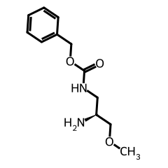 COC[C@@H](N)CNC(=O)OCc1ccccc1